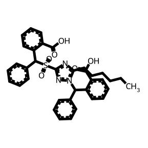 CCCCCCc1nc(S(=O)(=O)C(c2ccccc2)c2ccccc2C(=O)O)nn1C(c1ccccc1)c1ccccc1C(=O)O